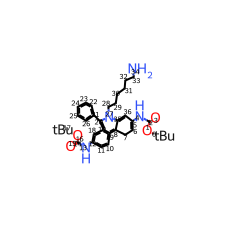 CC(C)(C)OC(=O)NC1=CCC2=c3ccc(NC(=O)OC(C)(C)C)cc3=C(c3ccccc3)N(CCCCCCN)C2=C1